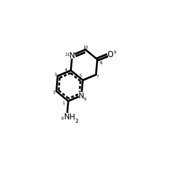 Nc1ccc2c(n1)CC(=O)C=N2